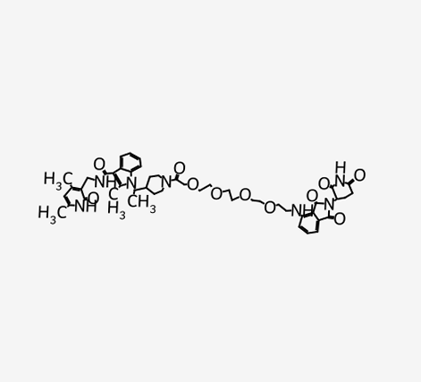 Cc1cc(C)c(CNC(=O)c2c(C)n(C(C)C3CCN(C(=O)COCCOCCOCCOCCNc4cccc5c4C(=O)N(C4CCC(=O)NC4=O)C5=O)CC3)c3ccccc23)c(=O)[nH]1